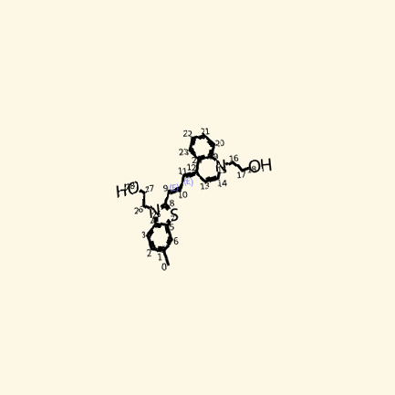 Cc1ccc2c(c1)sc(/C=C/C=C1\C=CN(CCO)c3ccccc31)[n+]2CCO